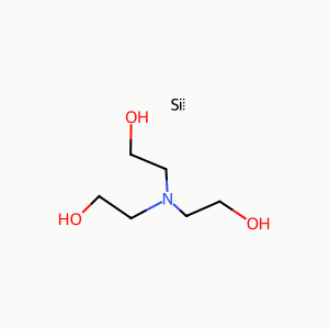 OCCN(CCO)CCO.[Si]